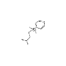 CC(C)CC[Si](C)(C)c1ccccc1